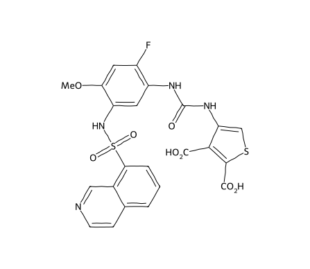 COc1cc(F)c(NC(=O)Nc2csc(C(=O)O)c2C(=O)O)cc1NS(=O)(=O)c1cccc2ccncc12